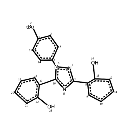 CC(C)(C)c1ccc(-n2nc(-c3ccccc3O)nc2-c2ccccc2O)cc1